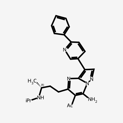 CC(=O)c1c(CC[C@@H](C)NC(C)C)nc2c(-c3ccc(-c4ccccc4)nc3)cnn2c1N